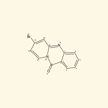 O=c1c2ccccc2nc2cc(Br)ccn12